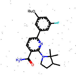 CC(C)COc1cc(F)cc(-c2ccc(C(N)=O)c(N3CCC(C)C3(C)C)n2)c1